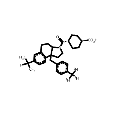 [2H]C([2H])([2H])c1ccc(CC23CCN(C(=O)[C@H]4CC[C@H](C(=O)O)CC4)C2CCc2cc(C(C)(F)C(F)(F)F)ccc23)cc1